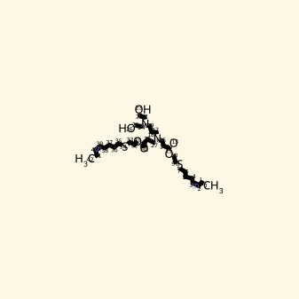 CC/C=C\CCCCSCCOC(=O)CCN(CCCN(CCO)CCO)CCC(=O)OCCSCCCC/C=C\CC